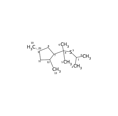 CC(C)SC(C)(C)C1C[C@@H](C)CC1C